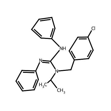 CC(C)N(Cc1ccc(Cl)cc1)/C(=N\c1ccccc1)Nc1ccccc1